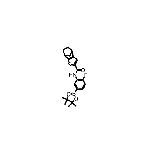 CC1(C)OB(c2ccc(F)c(NC(=O)c3cc4c(s3)C3CCC4C3)c2)OC1(C)C